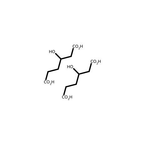 O=C(O)CCC(O)CC(=O)O.O=C(O)CCC(O)CC(=O)O